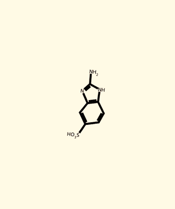 Nc1nc2cc(S(=O)(=O)O)ccc2[nH]1